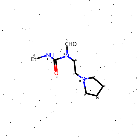 CCNC(=O)N(C=O)CCN1CCCC1